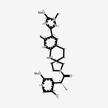 COc1cc([C@@H](C)C(=O)N2CC[C@@]3(CCc4cc(-c5nc(OC)n(C)n5)c(C)nc4N3)C2)c(Cl)cn1